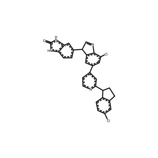 O=c1[nH]c2ccc(C3C=Nc4c(Cl)cc(-c5ccnc(C6CCc7cc(Cl)ccc76)c5)cc43)cc2[nH]1